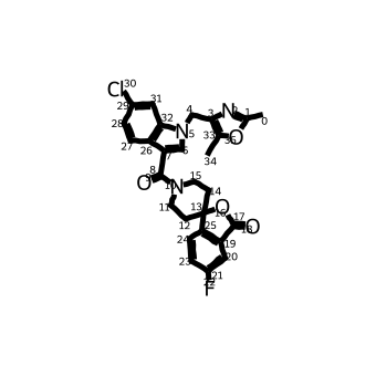 Cc1nc(Cn2cc(C(=O)N3CCC4(CC3)OC(=O)c3cc(F)ccc34)c3ccc(Cl)cc32)c(C)o1